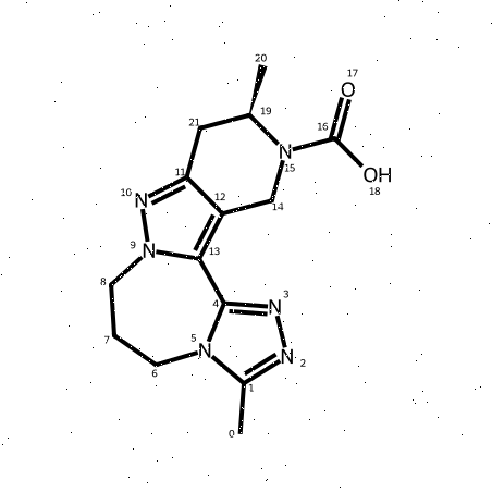 Cc1nnc2n1CCCn1nc3c(c1-2)CN(C(=O)O)[C@H](C)C3